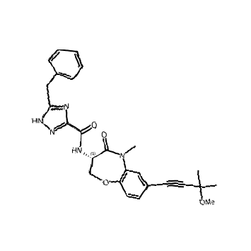 COC(C)(C)C#Cc1ccc2c(c1)N(C)C(=O)[C@@H](NC(=O)c1n[nH]c(Cc3ccccc3)n1)CO2